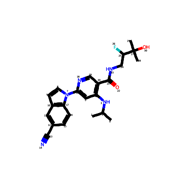 CC(C)Nc1cc(-n2ccc3cc(C#N)ccc32)ncc1C(=O)NCC(F)C(C)(C)O